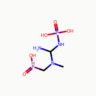 CN(C[PH](=O)O)C(N)NP(=O)(O)O